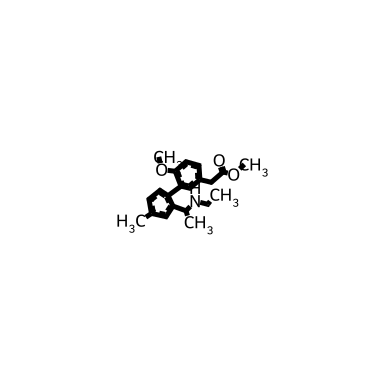 CCNC(C)c1cc(C)ccc1-c1cc(CC(=O)OC)ccc1OC